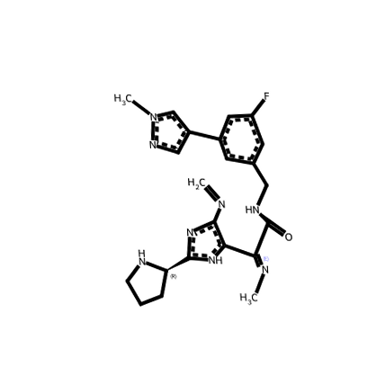 C=Nc1nc([C@H]2CCCN2)[nH]c1/C(=N\C)C(=O)NCc1cc(F)cc(-c2cnn(C)c2)c1